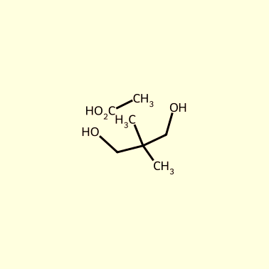 CC(=O)O.CC(C)(CO)CO